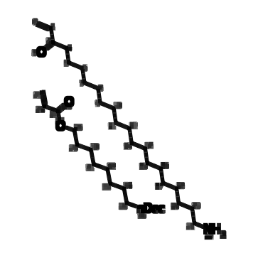 C=CC(=O)CCCCCCCCCCCCCCCCCCN.C=CC(=O)OCCCCCCCCCCCCCCCCCC